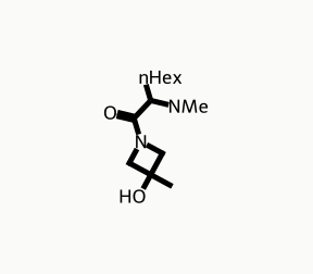 CCCCCCC(NC)C(=O)N1CC(C)(O)C1